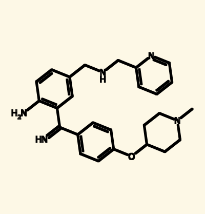 CN1CCC(Oc2ccc(C(=N)c3cc(CNCc4ccccn4)ccc3N)cc2)CC1